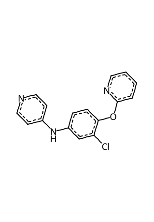 Clc1cc(Nc2ccncc2)ccc1Oc1ccccn1